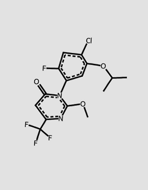 COc1nc(C(F)(F)F)cc(=O)n1-c1cc(OC(C)C)c(Cl)cc1F